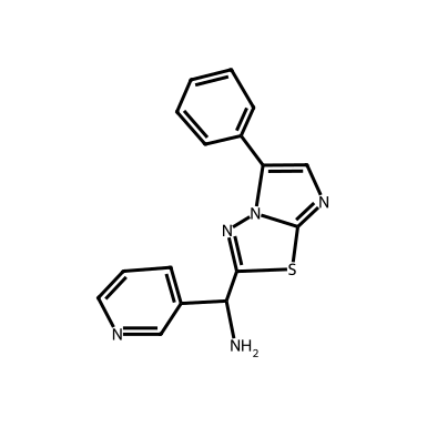 NC(c1cccnc1)c1nn2c(-c3ccccc3)cnc2s1